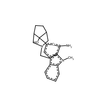 Cn1cc(CN2CC3CCC(C2)C3(O)c2cccc(N)c2)c2ccccc21